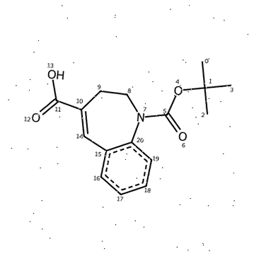 CC(C)(C)OC(=O)N1CCC(C(=O)O)=Cc2ccccc21